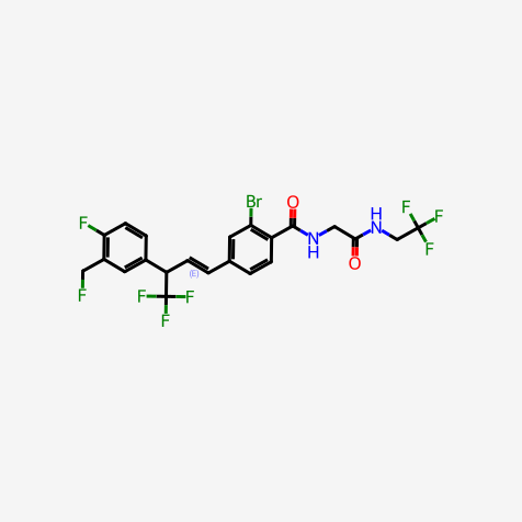 O=C(CNC(=O)c1ccc(/C=C/C(c2ccc(F)c(CF)c2)C(F)(F)F)cc1Br)NCC(F)(F)F